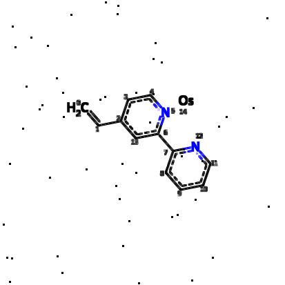 C=Cc1ccnc(-c2ccccn2)c1.[Os]